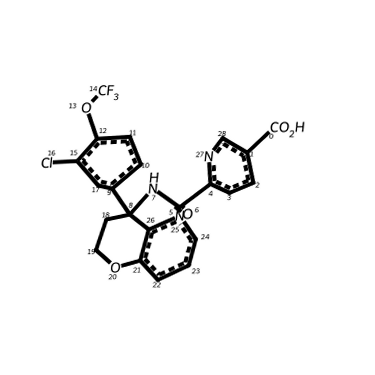 O=C(O)c1ccc(C(=O)NC2(c3ccc(OC(F)(F)F)c(Cl)c3)CCOc3cccnc32)nc1